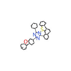 c1ccc(-c2nc(-c3ccc4c(c3)oc3ccccc34)nc(-c3cccc4ccc5c6ccccc6sc5c34)n2)cc1